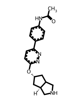 CC(=O)Nc1ccc(-c2ccc(O[C@@H]3CC4CNC[C@H]4C3)nn2)cc1